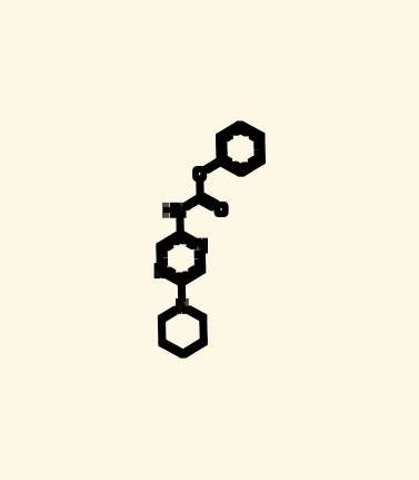 O=C(Nc1cnc(N2CCCCC2)cn1)Oc1ccccc1